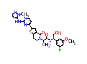 COc1cc(F)cc(C(CO)NC(=O)C(C)N2CCc3sc(-c4ccnc(Nc5ccnn5C)n4)cc3C2=O)c1